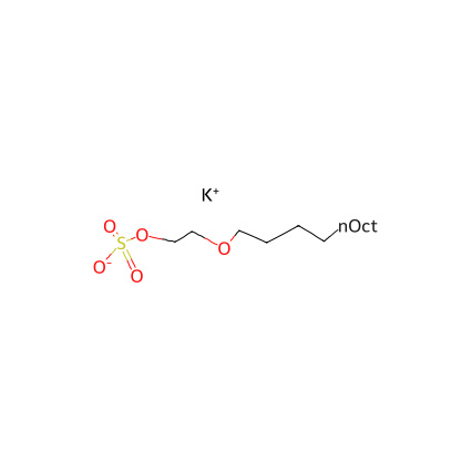 CCCCCCCCCCCCOCCOS(=O)(=O)[O-].[K+]